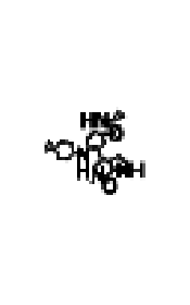 Cn1cc(-c2cc(S(=N)(=O)C3CC3)ccc2NC2CCC3(CC2)CC3)c2cc[nH]c2c1=O